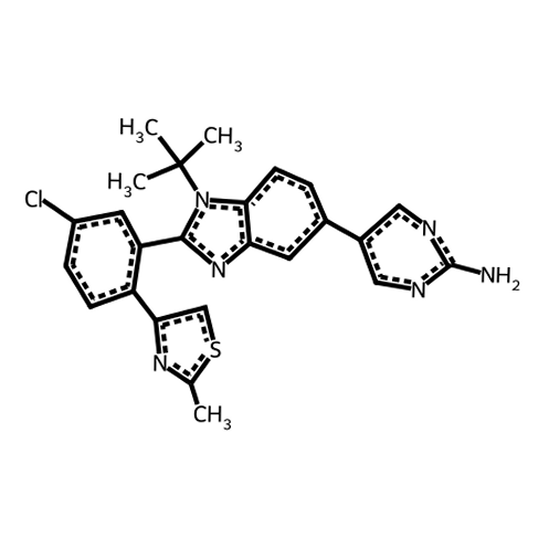 Cc1nc(-c2ccc(Cl)cc2-c2nc3cc(-c4cnc(N)nc4)ccc3n2C(C)(C)C)cs1